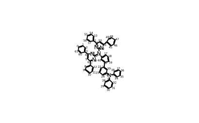 c1ccc(-c2cc(-c3ccccc3)nc(N(c3cccc(-c4cccc(N(c5ccccc5)c5ccccc5)c4)c3)c3nc(-c4ccccc4)cc(-c4ccccc4)n3)n2)cc1